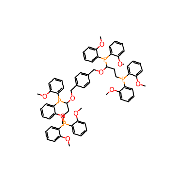 COc1ccccc1P(CCC(OCc1ccc(COC(CCP(c2ccccc2OC)c2ccccc2OC)P(c2ccccc2OC)c2ccccc2OC)cc1)P(c1ccccc1OC)c1ccccc1OC)c1ccccc1OC